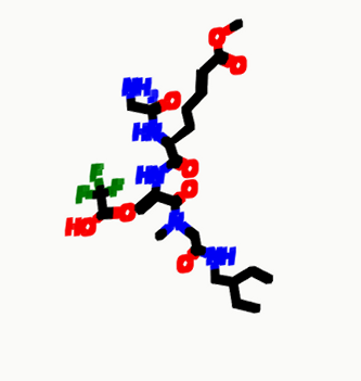 C=C(NC(=O)[C@H](CCC=CC(=O)OC)NC(=O)CN)C(=O)N(C)CC(=O)NCC(CC)CC.O=C(O)C(F)(F)F